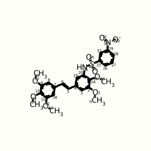 COc1cc(C=Cc2cc(OC)c(OC)c(OC)c2)cc(NS(=O)(=O)c2cccc([N+](=O)[O-])c2)c1OC